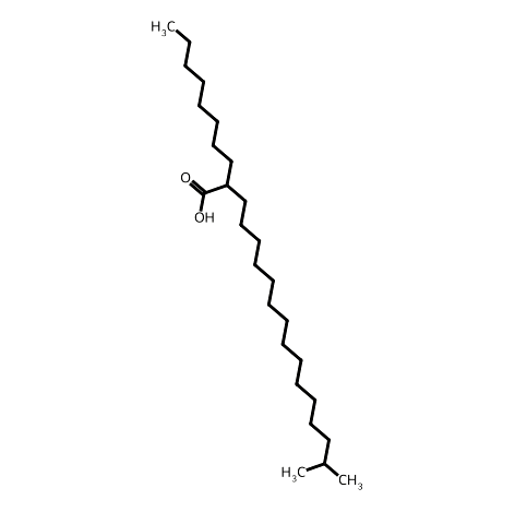 CCCCCCCCC(CCCCCCCCCCCCCC(C)C)C(=O)O